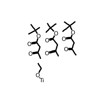 CC(=O)CC(=O)OC(C)(C)C.CC(=O)CC(=O)OC(C)(C)C.CC(=O)CC(=O)OC(C)(C)C.CC[O][Ti]